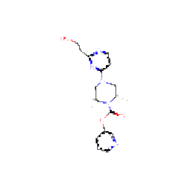 C[C@@H]1CN(c2ccnc(CCO)n2)C[C@H](C)N1C(=O)Oc1cccnc1